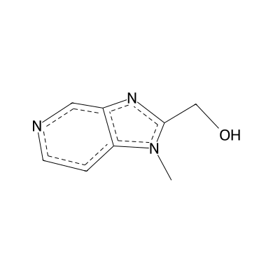 Cn1c(CO)nc2cnccc21